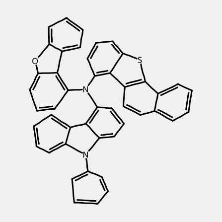 c1ccc(-n2c3ccccc3c3c(N(c4cccc5oc6ccccc6c45)c4cccc5sc6c7ccccc7ccc6c45)cccc32)cc1